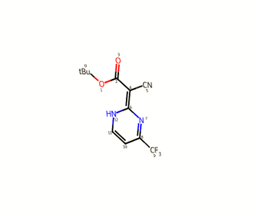 CC(C)(C)OC(=O)C(C#N)=C1N=C(C(F)(F)F)C=CN1